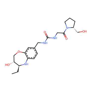 CC[C@@H]1Nc2ccc(CNC(=O)NCC(=O)N3CCC[C@@H]3CO)cc2OC[C@H]1O